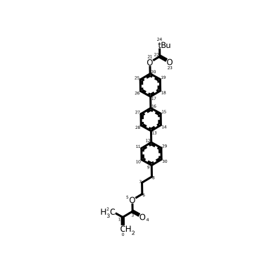 C=C(C)C(=O)OCCCc1ccc(-c2ccc(-c3ccc(OC(=O)C(C)(C)C)cc3)cc2)cc1